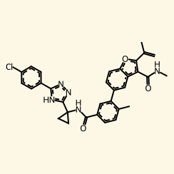 C=C(C)c1oc2ccc(-c3cc(C(=O)NC4(c5nnc(-c6ccc(Cl)cc6)[nH]5)CC4)ccc3C)cc2c1C(=O)NC